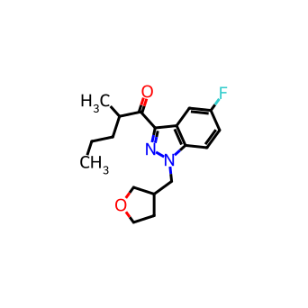 CCCC(C)C(=O)c1nn(CC2CCOC2)c2ccc(F)cc12